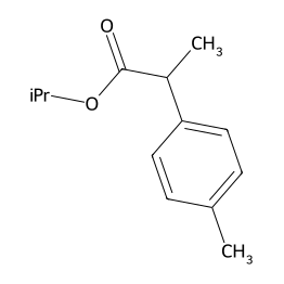 Cc1ccc(C(C)C(=O)OC(C)C)cc1